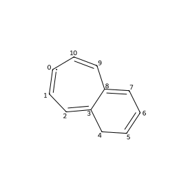 [C]1=CC=C2CC=CC=C2C=C1